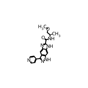 COC[C@@H](C)NC(=O)c1nc2cc3c(-c4ccncc4)n[nH]c3cc2[nH]1